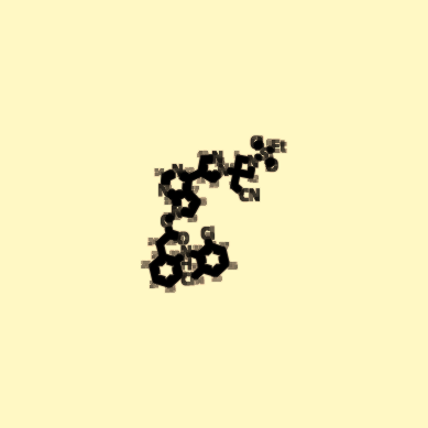 CCS(=O)(=O)N1CC(CC#N)(n2cc(-c3ncnc4c3ccn4OC(=O)Cc3ccccc3Nc3c(Cl)cccc3Cl)cn2)C1